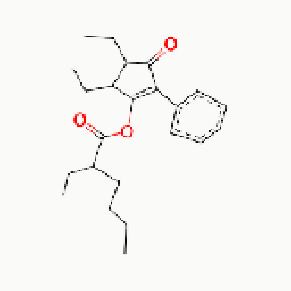 CCCCC(CC)C(=O)OC1=C(c2ccccc2)C(=O)C(CC)C1CC